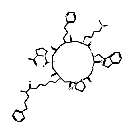 CC(=O)[C@@H]1CCCN1C(=O)[C@@H]1CC(=O)CC(CCCc2ccccn2)C(=O)C[C@@H](CCCCN(C)C)C(=O)C[C@@H](CC2=CCc3ccccc32)C(=O)OCC(=O)N2CCC[C@H]2C(=O)C[C@@H](CCCCCC(=O)C(C)CCCc2ccccc2)C(=O)C1